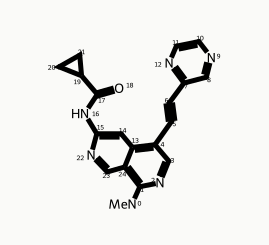 CNc1ncc(C#Cc2cnccn2)c2cc(NC(=O)C3CC3)ncc12